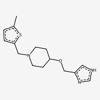 Cc1ccc(CN2CCC(OCc3c[nH]cn3)CC2)s1